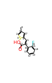 Cc1csc(C=C(C(=O)O)c2ccccc2F)c1